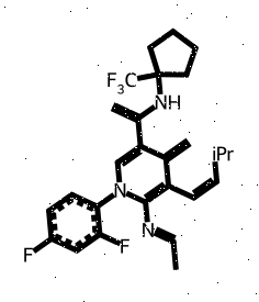 C=C(NC1(C(F)(F)F)CCCC1)C1=CN(c2ccc(F)cc2F)C(/N=C/C)=C(/C=C\C(C)C)C1=C